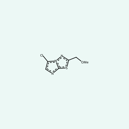 COCc1nn2c(Cl)cnc2s1